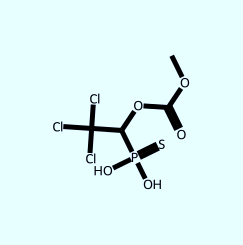 COC(=O)OC(C(Cl)(Cl)Cl)P(O)(O)=S